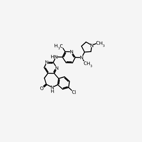 Cc1nc(N(C)C2CCN(C)C2)ccc1Nc1ncc2c(n1)-c1ccc(Cl)cc1NC(=O)C2